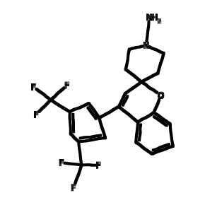 NN1CCC2(C=C(c3cc(C(F)(F)F)cc(C(F)(F)F)c3)c3ccccc3O2)CC1